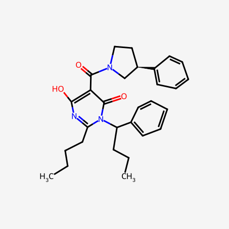 CCCCc1nc(O)c(C(=O)N2CC[C@@H](c3ccccc3)C2)c(=O)n1C(CCC)c1ccccc1